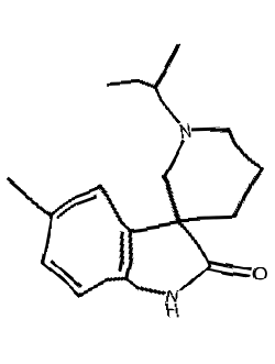 Cc1ccc2c(c1)C1(CCCN(C(C)C)C1)C(=O)N2